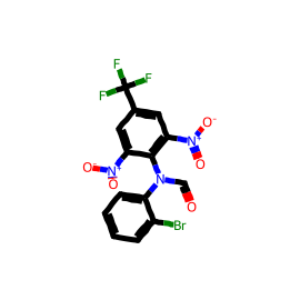 O=CN(c1ccccc1Br)c1c([N+](=O)[O-])cc(C(F)(F)F)cc1[N+](=O)[O-]